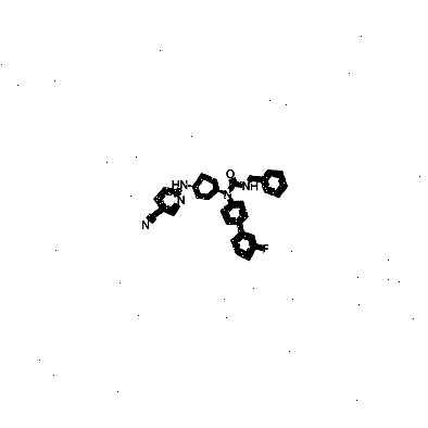 N#Cc1ccc(N[C@H]2CC[C@H](N(C(=O)NCc3ccccc3)c3ccc(-c4cccc(F)c4)cc3)CC2)nc1